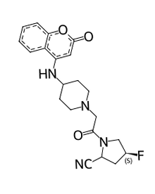 N#CC1C[C@H](F)CN1C(=O)CN1CCC(Nc2cc(=O)oc3ccccc23)CC1